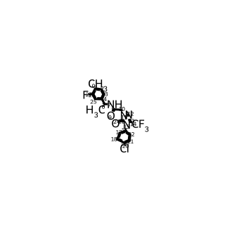 Cc1ccc([C@H](C)NC(=O)Cn2nc(C(F)(F)F)n(-c3ccc(Cl)cc3)c2=O)cc1F